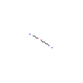 N=C(N)NCCCCOC(=O)C(N)CCCCN=C(N)N